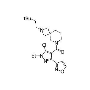 CCn1nc(-c2ccon2)c(C(=O)N2CCCC3(CN(CCC(C)(C)C)C3)C2)c1Cl